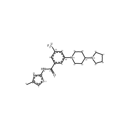 Cc1csc(NC(=O)c2cc(N3CCC(N4CCCC4)CC3)cc(C(F)(F)F)c2)n1